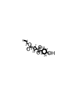 C=CCOC(=O)N1CC(S(=O)(=O)c2ccc(O)cc2)C1